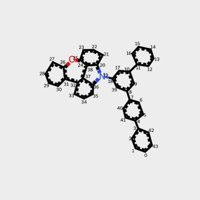 c1ccc(-c2ccc(-c3cc(-c4ccccc4)cc(-n4c5cccc6oc7ccccc7c7cccc4c7c65)c3)cc2)cc1